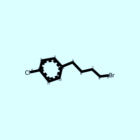 Clc1ccc(CCCCBr)cc1